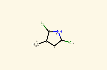 CC1CC(Cl)NC1Cl